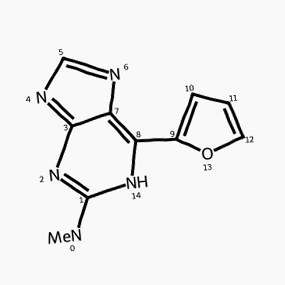 CNc1nc2ncnc-2c(-c2ccco2)[nH]1